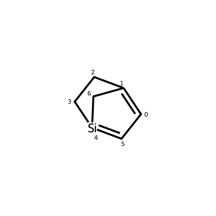 C1=C2CC[Si](=C1)C2